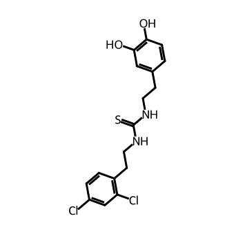 Oc1ccc(CCNC(=S)NCCc2ccc(Cl)cc2Cl)cc1O